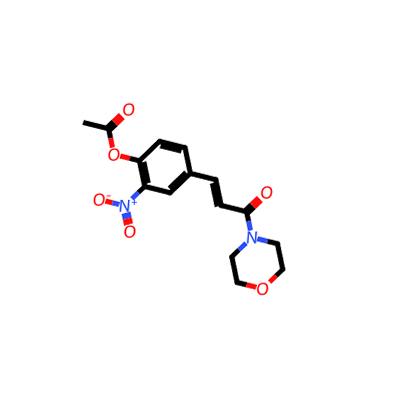 CC(=O)Oc1ccc(C=CC(=O)N2CCOCC2)cc1[N+](=O)[O-]